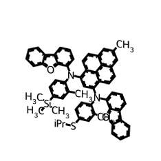 Cc1cc2ccc3c(N(c4ccc(SC(C)C)cc4C)c4cccc5c4oc4ccccc45)cc(N(c4ccc([Si](C)(C)C)cc4C)c4cccc5c4oc4ccccc45)c4ccc(c1)c2c34